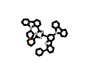 c1ccc(-c2nc(-c3cc(-n4c5ccccc5c5ccccc54)cc4c3sc3c(-c5ccccc5)cccc34)nc(-c3cccc4c5ccccc5n(-c5ccccc5)c34)n2)cc1